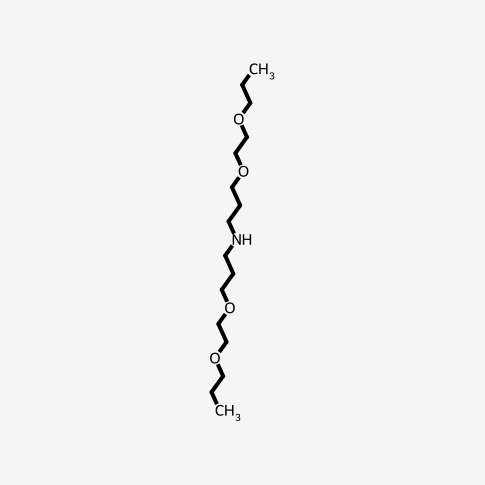 CCCOCCOCCCNCCCOCCOCCC